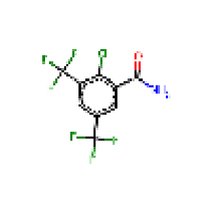 NC(=O)c1cc(C(F)(F)F)cc(C(F)(F)F)c1Cl